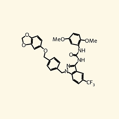 COc1ccc(OC)c(NC(=O)Nc2nn(Cc3ccc(COc4ccc5c(c4)OCO5)cc3)c3ccc(C(F)(F)F)cc23)c1